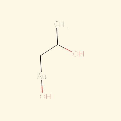 CC(O)[CH2][Au][OH]